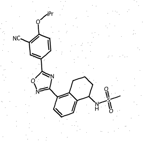 CC(C)Oc1ccc(-c2nc(-c3cccc4c3CCCC4NS(C)(=O)=O)no2)cc1C#N